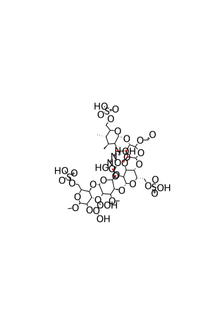 COC1C(C)[C@H](O[C@@H]2C(COS(=O)(=O)O)O[C@H](OC)C(OOO)[C@H]2OOO)O[C@@H](OC=O)[C@H]1O[C@H]1O[C@@H](COS(=O)(=O)O)[C@@H](O[C@@H]2OC(OC=O)[C@@H](O[C@H]3OC(COS(=O)(=O)O)[C@@H](C)[C@H](C)C3N=[N+]=[N-])[C@H](C)C2C)C(OOO)C1OOO